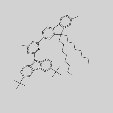 CCCCCCCCC1(CCCCCCCC)c2cc(C)ccc2-c2ccc(-c3cc(C)nc(-n4c5ccc(C(C)(C)C)cc5c5cc(C(C)(C)C)ccc54)n3)cc21